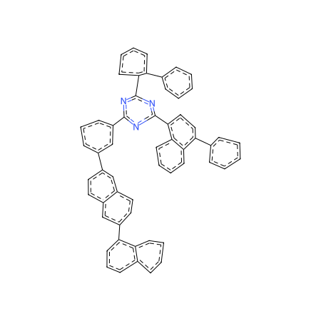 c1ccc(-c2ccccc2-c2nc(-c3cccc(-c4ccc5cc(-c6cccc7ccccc67)ccc5c4)c3)nc(-c3ccc(-c4ccccc4)c4ccccc34)n2)cc1